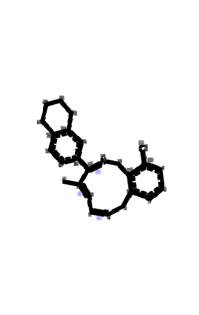 CC1=C\C=C/Cc2cccc(Cl)c2C/N=C\1c1ccc2c(c1)CCCC2